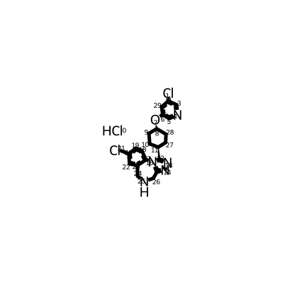 Cl.Clc1cncc(O[C@H]2CC[C@H](c3nnc4n3-c3ccc(Cl)cc3CNC4)CC2)c1